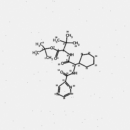 CC(C)(C)OC(=O)C(NC(=O)C(NC(=O)c1cnccn1)C1CCCCC1)C(C)(C)C